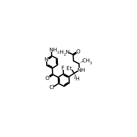 [2H][C@](CC)(N[C@@H](C)CC(N)=O)c1ccc(Cl)c(C(=O)c2ccc(N)nc2)c1F